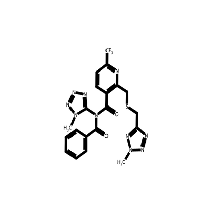 Cn1nnc(CSCc2nc(C(F)(F)F)ccc2C(=O)N(C(=O)c2ccccc2)c2nnnn2C)n1